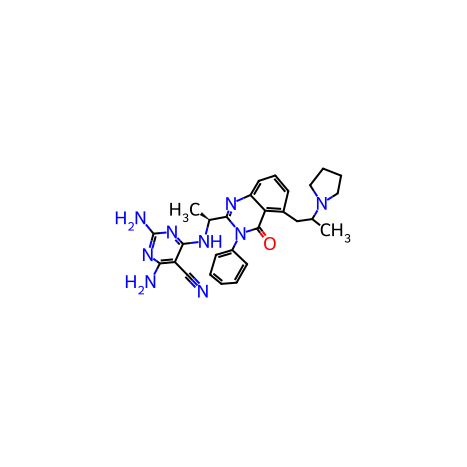 CC(Cc1cccc2nc([C@H](C)Nc3nc(N)nc(N)c3C#N)n(-c3ccccc3)c(=O)c12)N1CCCC1